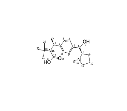 C[C@@H](c1ccc(C(O)[C@H]2CCCN2C)cc1)N(C(=O)O)C(C)(C)C